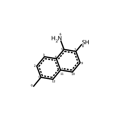 Cc1ccc2c(N)c(S)ccc2c1